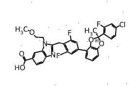 COCCn1c(Cc2c(F)cc(-c3cccc4c3O[C@](C)(c3ccc(Cl)cc3F)O4)cc2F)nc2ccc(C(=O)O)cc21